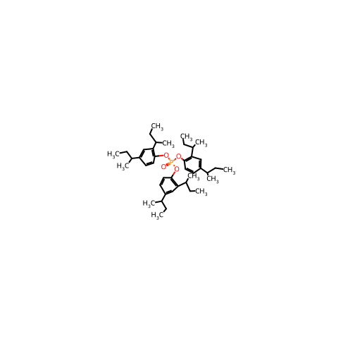 CCC(C)c1ccc(OP(=O)(Oc2ccc(C(C)CC)cc2C(C)CC)Oc2ccc(C(C)CC)cc2C(C)CC)c(C(C)CC)c1